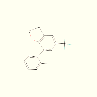 Cc1ccccc1-c1cc(C(F)(F)F)cc2c1O[CH]C2